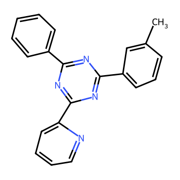 Cc1cccc(-c2nc(-c3ccccc3)nc(-c3ccccn3)n2)c1